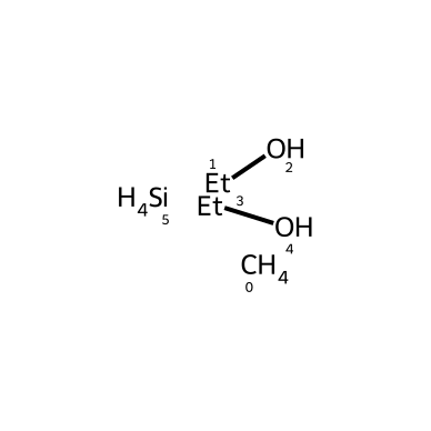 C.CCO.CCO.[SiH4]